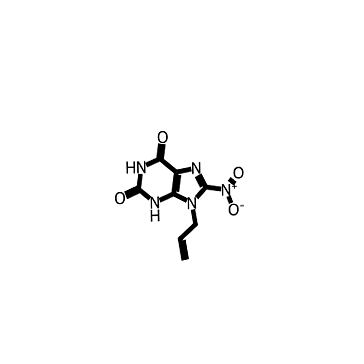 C=CCn1c([N+](=O)[O-])nc2c(=O)[nH]c(=O)[nH]c21